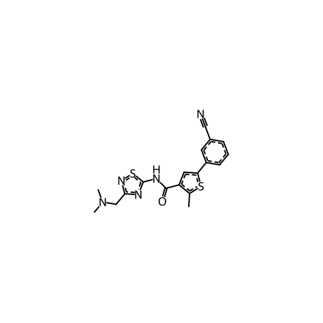 Cc1sc(-c2cccc(C#N)c2)cc1C(=O)Nc1nc(CN(C)C)ns1